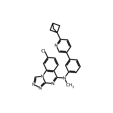 CN(c1cccc(-c2ccc(C34CC(C3)C4)nc2)c1)c1nc2nncn2c2cc(Cl)ccc12